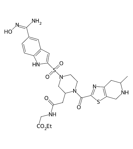 CCOC(=O)CNC(=O)CC1CN(S(=O)(=O)c2cc3cc(/C(N)=N\O)ccc3[nH]2)CCN1C(=O)c1nc2c(s1)CNC(C)C2